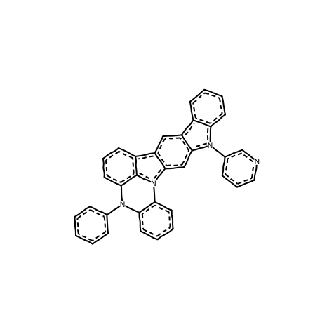 c1ccc(N2c3ccccc3-n3c4cc5c(cc4c4cccc2c43)c2ccccc2n5-c2cccnc2)cc1